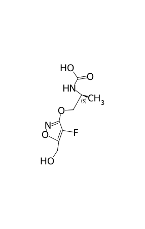 C[C@@H](COc1noc(CO)c1F)NC(=O)O